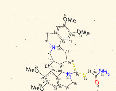 CCC1CN2CCc3cc(OC)c(OC)cc3C2CCC1C1c2cc(OC)c(OC)cc2CCN1C(=S)SCC(N)=O